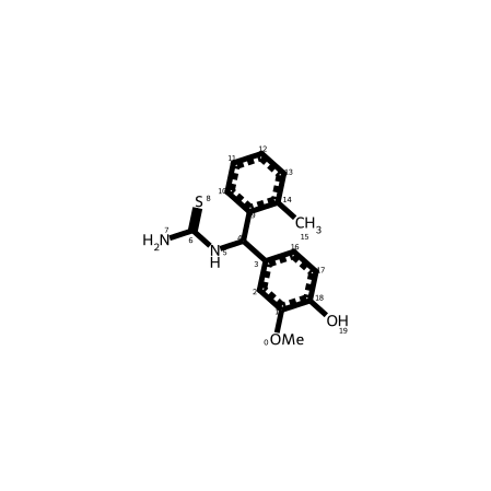 COc1cc(C(NC(N)=S)c2ccccc2C)ccc1O